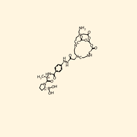 C[C@@H](NC(=O)c1ccc(NNC(=O)CN2CCNCC(=O)OC3OC(=O)CN(CN)CCN(CC2)CC(=O)O3)cc1)C(=O)N1CCC[C@H]1B(O)O